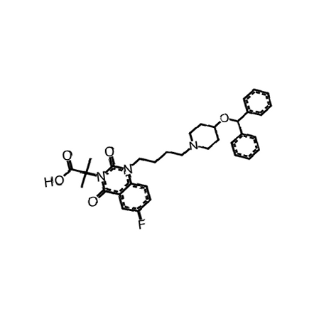 CC(C)(C(=O)O)n1c(=O)c2cc(F)ccc2n(CCCCN2CCC(OC(c3ccccc3)c3ccccc3)CC2)c1=O